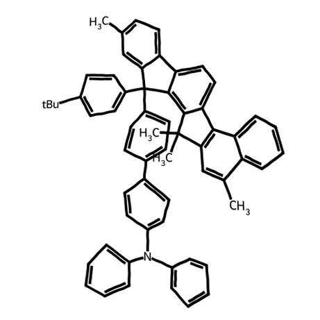 Cc1ccc2c(c1)C(c1ccc(-c3ccc(N(c4ccccc4)c4ccccc4)cc3)cc1)(c1ccc(C(C)(C)C)cc1)c1c-2ccc2c1C(C)(C)c1cc(C)c3ccccc3c1-2